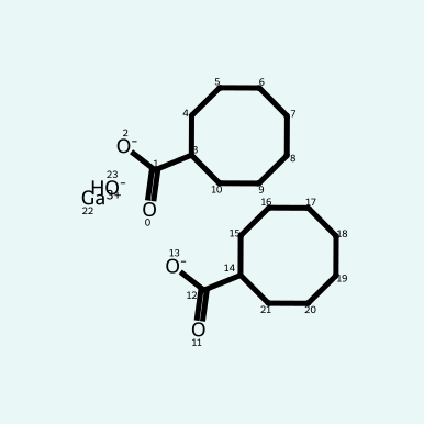 O=C([O-])C1CCCCCCC1.O=C([O-])C1CCCCCCC1.[Ga+3].[OH-]